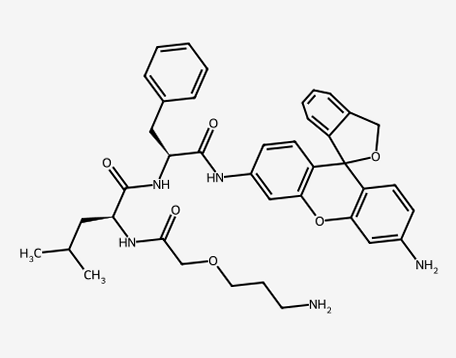 CC(C)C[C@H](NC(=O)COCCCN)C(=O)N[C@@H](Cc1ccccc1)C(=O)Nc1ccc2c(c1)Oc1cc(N)ccc1C21OCc2ccccc21